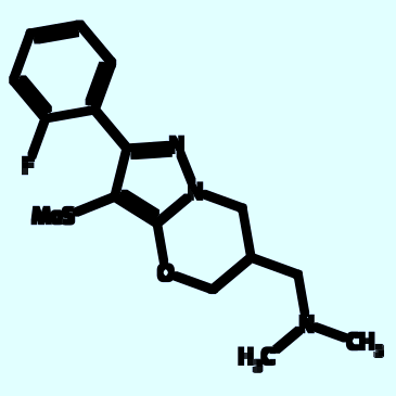 CSc1c(-c2ccccc2F)nn2c1OCC(CN(C)C)C2